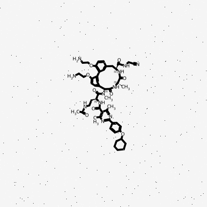 CC(=O)NCC[C@H](NC(=O)c1c(C)nc(-c2ccc(OC3CCCCC3)cc2)nc1C)C(=O)N(C)[C@@H]1C(=O)N[C@@H](C)C(=O)N[C@H](C(=O)NCC#N)Cc2ccc(OCCN)c(c2)-c2cc1ccc2OCCN